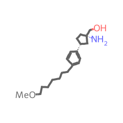 COCCCCCCCc1ccc([C@@H]2CC[C@@](N)(CO)C2)cc1